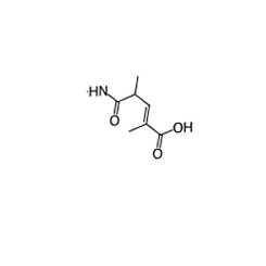 CC(=CC(C)C([NH])=O)C(=O)O